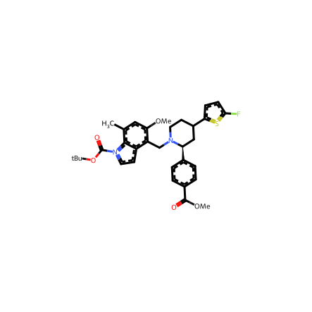 COC(=O)c1ccc([C@@H]2CC(c3ccc(F)s3)CCN2Cc2c(OC)cc(C)c3c2ccn3C(=O)OC(C)(C)C)cc1